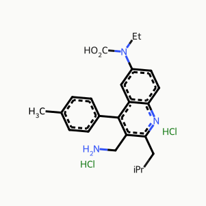 CCN(C(=O)O)c1ccc2nc(CC(C)C)c(CN)c(-c3ccc(C)cc3)c2c1.Cl.Cl